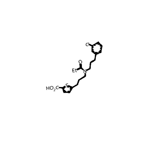 CCC(=O)N(CCCc1cccc(Cl)c1)CCCc1ccc(C(=O)O)s1